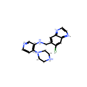 Clc1cc2nccnc2cc1CNc1cnccc1N1CCNCC1